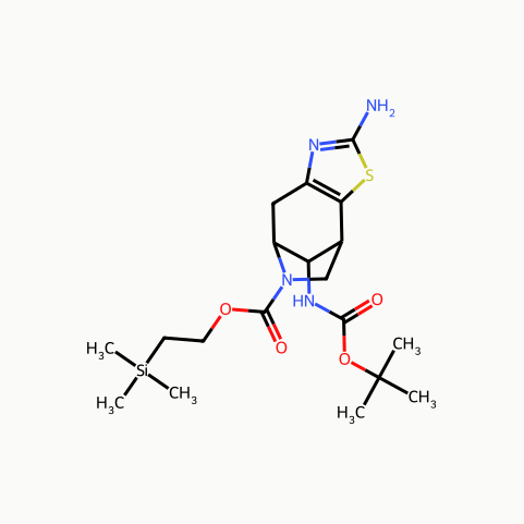 CC(C)(C)OC(=O)NC1C2CN(C(=O)OCC[Si](C)(C)C)C1Cc1nc(N)sc12